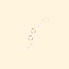 CN(Cc1cccc(-c2ccc(C(=O)NCCCN3CCCC3)cc2)c1)C(=O)CN